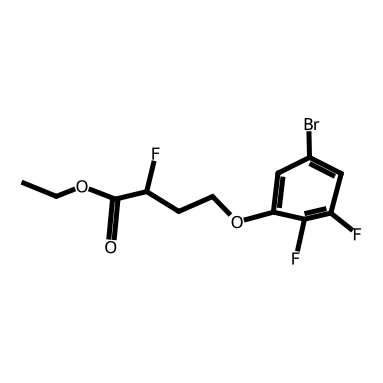 CCOC(=O)C(F)CCOc1cc(Br)cc(F)c1F